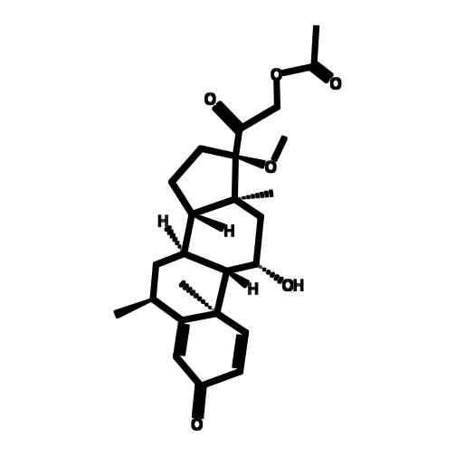 CO[C@]1(C(=O)COC(C)=O)CC[C@H]2[C@@H]3C[C@H](C)C4=CC(=O)C=C[C@]4(C)[C@H]3[C@@H](O)C[C@@]21C